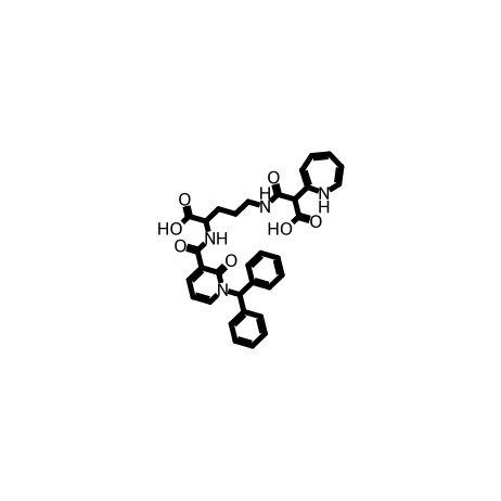 O=C(NC(CCCNC(=O)C(C(=O)O)C1=CC=CC=CN1)C(=O)O)c1cccn(C(c2ccccc2)c2ccccc2)c1=O